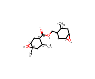 CC1CC2OC2CC1COC(=O)C1CC2O[C@H]2CC1C